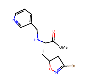 COC(=O)[C@H](CC1CC(Br)=NO1)NCc1cccnc1